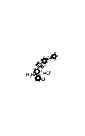 Cl.NC[C@]1(c2cccc(Cl)c2)CC[C@H](N2CCN(c3ccc(OCC4CCCC4)cc3)C2=O)CC1